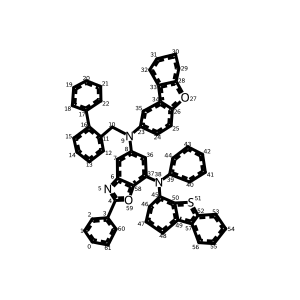 c1ccc(-c2nc3cc(N(Cc4ccccc4-c4ccccc4)c4ccc5oc6ccccc6c5c4)cc(N(c4ccccc4)c4cccc5c4sc4ccccc45)c3o2)cc1